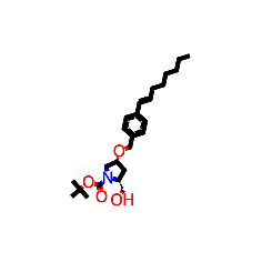 CCCCCCC=Cc1ccc(CO[C@H]2C[C@H](CO)N(C(=O)OC(C)(C)C)C2)cc1